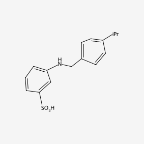 CC(C)c1ccc(CNc2cccc(S(=O)(=O)O)c2)cc1